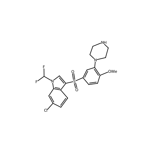 COc1ccc(S(=O)(=O)c2cn(C(F)F)c3cc(Cl)ccc23)cc1N1CCNCC1